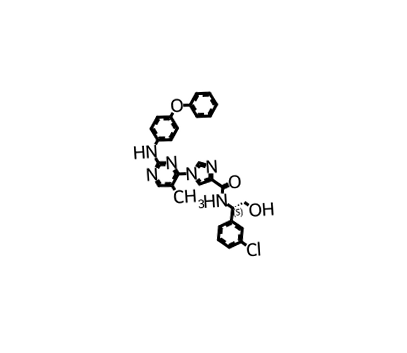 Cc1cnc(Nc2ccc(Oc3ccccc3)cc2)nc1-n1cnc(C(=O)N[C@H](CO)c2cccc(Cl)c2)c1